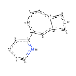 c1ccc(-c2cccc3cccc-3c2)nc1